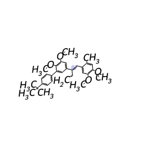 C=C/C(=C\c1cc(OC)c(OC)cc1C)c1cc(OC)c(OC)c(-c2ccc(C(C)(C)C)cc2)c1